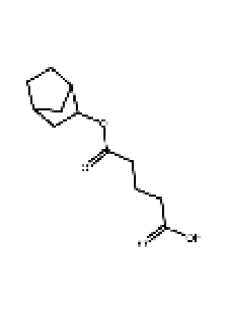 O=C(O)CCCC(=O)OC1CC2CCC1C2